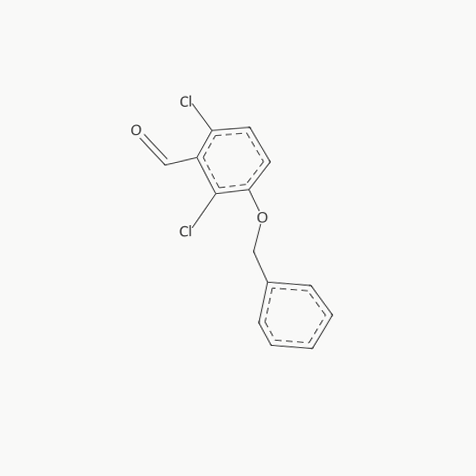 O=Cc1c(Cl)ccc(OCc2ccccc2)c1Cl